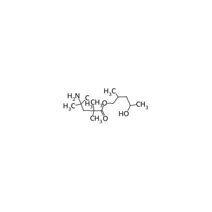 CC(O)CC(C)COC(=O)C(C)(C)CC(C)(C)N